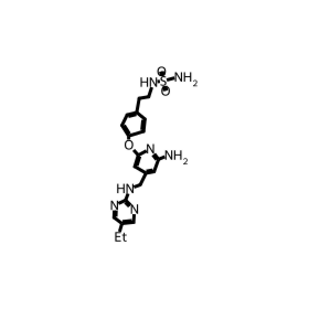 CCc1cnc(NCc2cc(N)nc(Oc3ccc(CCNS(N)(=O)=O)cc3)c2)nc1